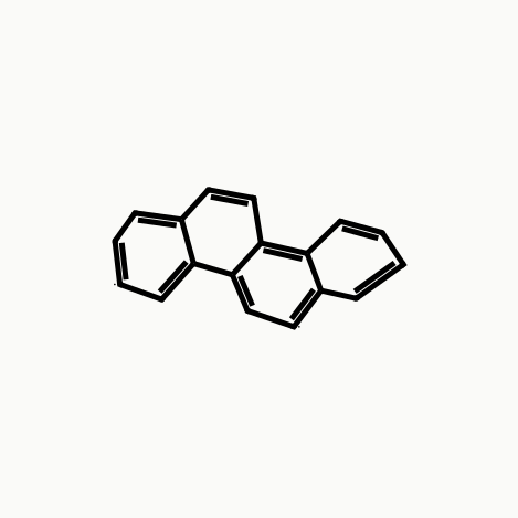 [c]1ccc2ccc3c4ccccc4[c]cc3c2c1